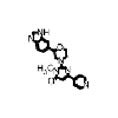 Cn1c(N2CCOC(c3ccc4nc[nH]c4c3)C2)nc(-c2ccncc2)cc1=O